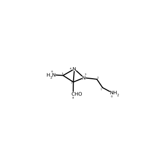 NCCN1N2C(N)C12C=O